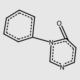 O=c1ccncn1-c1ccccc1